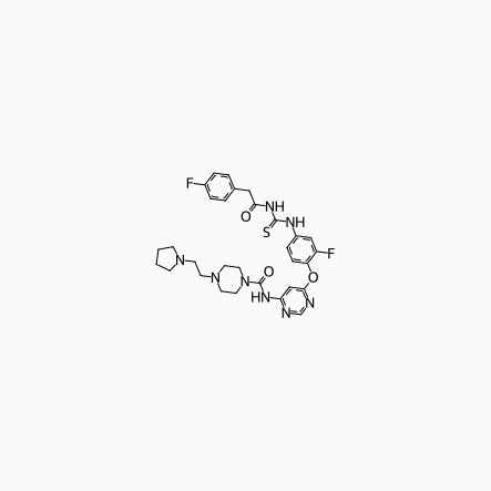 O=C(Cc1ccc(F)cc1)NC(=S)Nc1ccc(Oc2cc(NC(=O)N3CCN(CCN4CCCC4)CC3)ncn2)c(F)c1